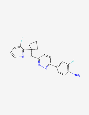 Nc1ccc(-c2ccc([CH]C3(c4ncccc4F)CCC3)nn2)cc1F